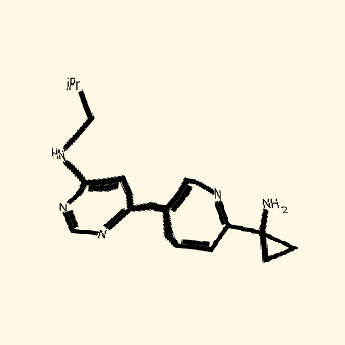 CC(C)CNc1cc(-c2ccc(C3(N)CC3)nc2)ncn1